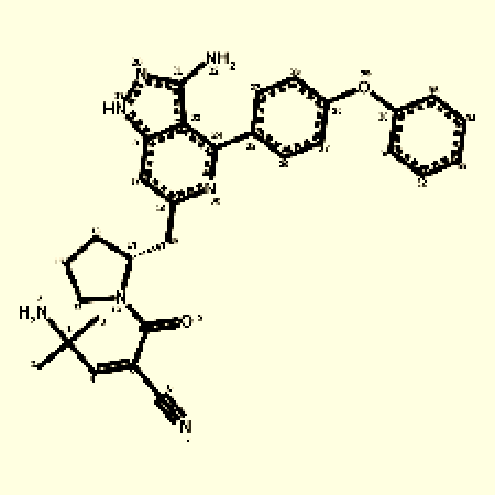 CC(C)(N)/C=C(/C#N)C(=O)N1CCC[C@@H]1Cc1cc2[nH]nc(N)c2c(-c2ccc(Oc3ccccc3)cc2)n1